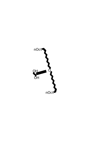 C=C.C=C.C=C.C=C.C=C.C=C.CCCCCCCC/C=C\CCCCCCCCOCCCCCCCC/C=C\CCCCCCCC.OCCO